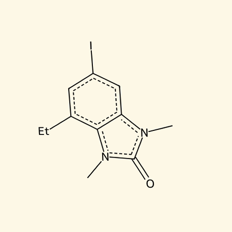 CCc1cc(I)cc2c1n(C)c(=O)n2C